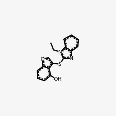 CCn1c(Sc2coc3cccc(O)c23)nc2ccccc21